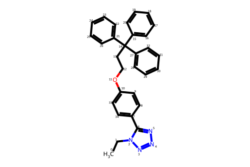 CCn1nnnc1-c1ccc(OCCC(c2ccccc2)(c2ccccc2)c2ccccc2)cc1